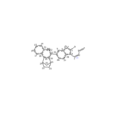 C=C/C=C\c1c(C)oc2cc(-c3nc4ccccc4c4c3C3CCC4C3)ccc12